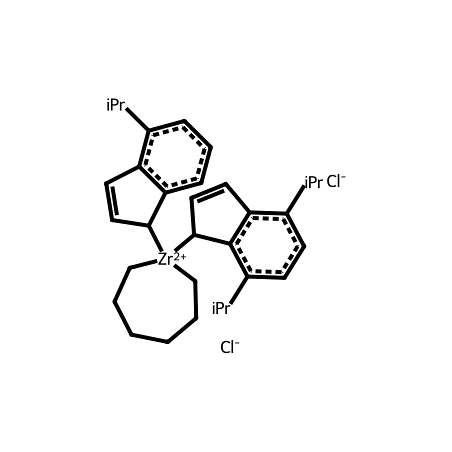 CC(C)c1cccc2c1C=C[CH]2[Zr+2]1([CH]2C=Cc3c(C(C)C)ccc(C(C)C)c32)[CH2]CCCC[CH2]1.[Cl-].[Cl-]